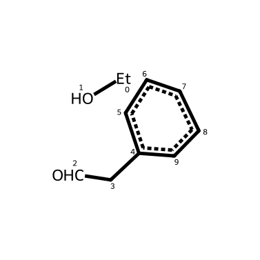 CCO.O=CCc1ccccc1